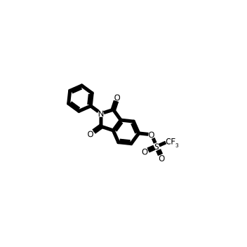 O=C1c2ccc(OS(=O)(=O)C(F)(F)F)cc2C(=O)N1c1ccccc1